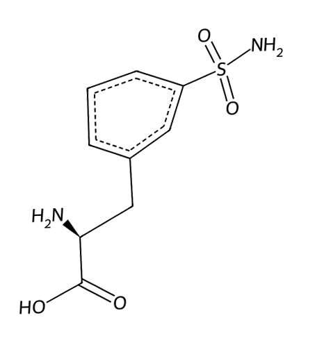 N[C@@H](Cc1cccc(S(N)(=O)=O)c1)C(=O)O